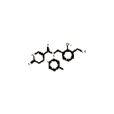 Cc1c(CO)cccc1CNC(=O)C1=CNC(=O)C[C@H]1c1ccc(F)cc1